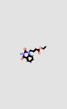 CCOC(=O)C=CCn1c(=O)[nH]c(=O)c2ccccc21